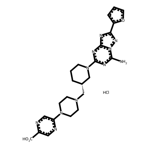 Cl.Nc1nc(N2CCC[C@@H](CN3CCN(c4cnc(C(=O)O)cn4)CC3)C2)nc2nc(-c3ccco3)nn12